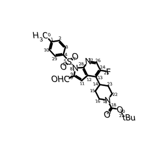 Cc1ccc(S(=O)(=O)n2c(C=O)cc3c(C4CCN(C(=O)OC(C)(C)C)CC4)c(F)cnc32)cc1